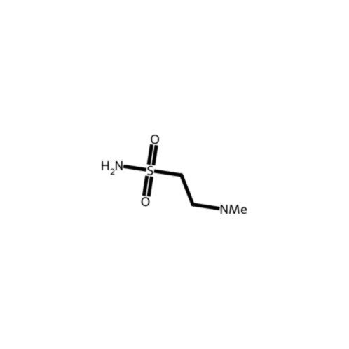 [CH2]NCCS(N)(=O)=O